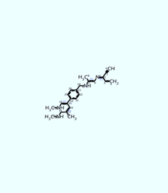 C#C/C(C=C)=N/C=C(\C)NCc1ccc(C(/C=C(/C)CNC)=C/NC)cc1